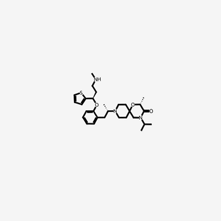 CNCC[C@@H](Oc1ccccc1C[C@H](C)N1CCC2(CC1)CN(C(C)C)C(=O)[C@@H](C)O2)c1cccs1